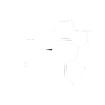 c1cc(-c2c[nH]c3nccc(O[C@@H]4CCCNC4)c23)ncn1